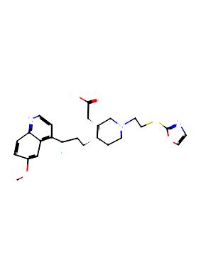 COc1ccc2nccc([C@@H](F)CC[C@@H]3CCN(CCSc4ncco4)C[C@@H]3CC(=O)O)c2c1